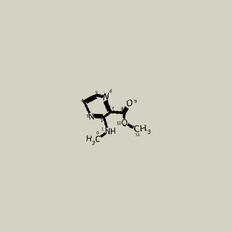 CNc1nccnc1C(=O)OC